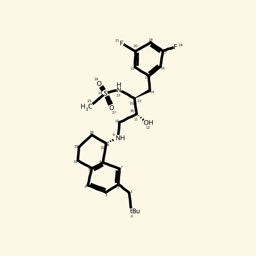 CC(C)(C)Cc1ccc2c(c1)[C@@H](NC[C@@H](O)[C@H](Cc1cc(F)cc(F)c1)NS(C)(=O)=O)CCC2